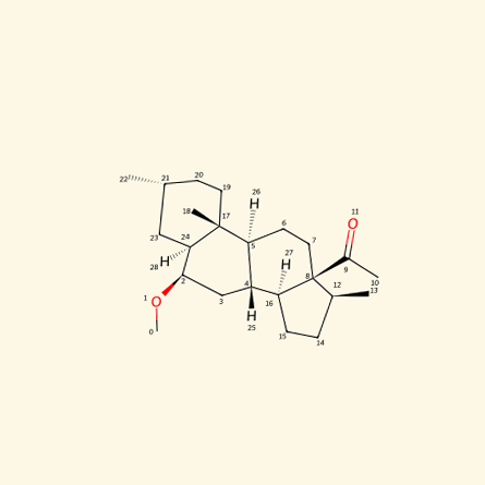 CO[C@@H]1C[C@@H]2[C@H](CC[C@]3(C(C)=O)[C@@H](C)CC[C@@H]23)[C@@]2(C)CC[C@@H](C)C[C@H]12